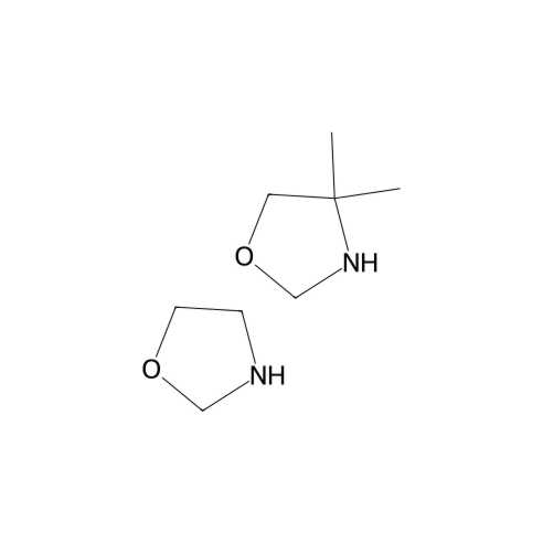 C1COCN1.CC1(C)COCN1